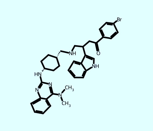 CN(C)c1nc(N[C@H]2CC[C@@H](CNCC(CC(=O)c3ccc(Br)cc3)c3c[nH]c4ccccc34)CC2)nc2ccccc12